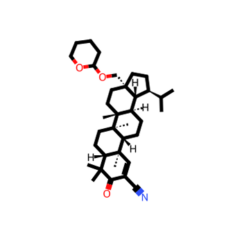 CC(C)[C@@H]1CC[C@]2(COC3CCCCO3)CC[C@]3(C)[C@H](CC[C@@H]4[C@@]5(C)C=C(C#N)C(=O)C(C)(C)[C@@H]5CC[C@]43C)[C@@H]12